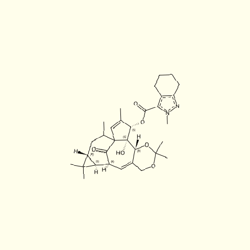 CC1=CC23C(=O)[C@@H](C=C4COC(C)(C)O[C@H]4[C@]2(O)[C@H]1OC(=O)c1c2c(nn1C)CCCC2)[C@@H]1[C@@H](CC3C)C1(C)C